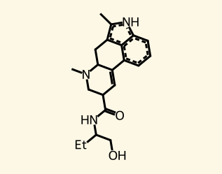 CCC(CO)NC(=O)C1C=C2c3cccc4[nH]c(C)c(c34)CC2N(C)C1